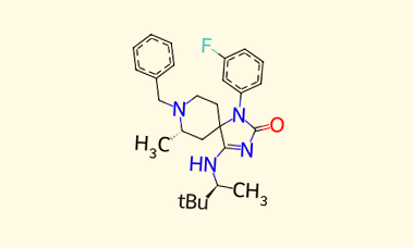 C[C@H](NC1=NC(=O)N(c2cccc(F)c2)C12CCN(Cc1ccccc1)[C@@H](C)C2)C(C)(C)C